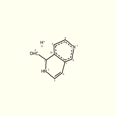 O=CC1NC=Cc2cnccc21.[H+]